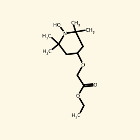 CCOC(=O)COC1CC(C)(C)N(O)C(C)(C)C1